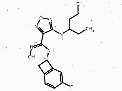 CCCC(CC)Nc1nonc1/C(=N/O)N[C@H]1Cc2ccc(F)cc21